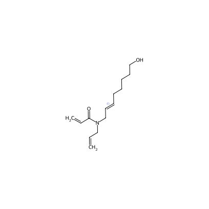 C=CCN(C/C=C/CCCCCO)C(=O)C=C